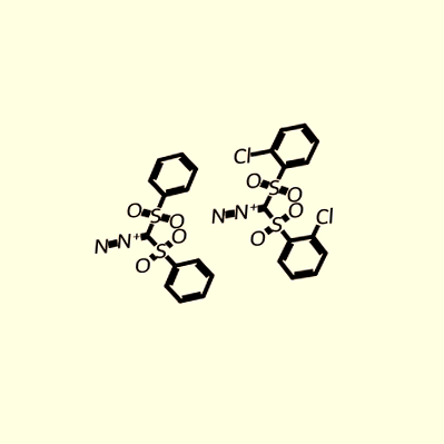 [N-]=[N+]=C(S(=O)(=O)c1ccccc1)S(=O)(=O)c1ccccc1.[N-]=[N+]=C(S(=O)(=O)c1ccccc1Cl)S(=O)(=O)c1ccccc1Cl